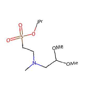 COC(CN(C)CCS(=O)(=O)OC(C)C)OC